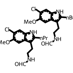 CCCCc1[nH]c2cc(Cl)c(OC)cc2c1CCNC=O.CCCc1[nH]c2cc(Cl)c(OC)cc2c1CCNC=O